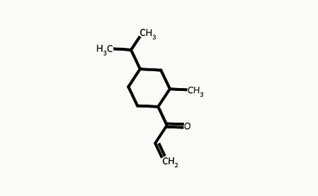 C=CC(=O)C1CCC(C(C)C)CC1C